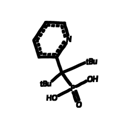 CC(C)(C)C(c1ccccn1)(C(C)(C)C)P(=O)(O)O